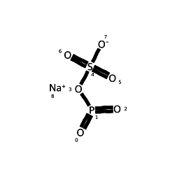 O=P(=O)OS(=O)(=O)[O-].[Na+]